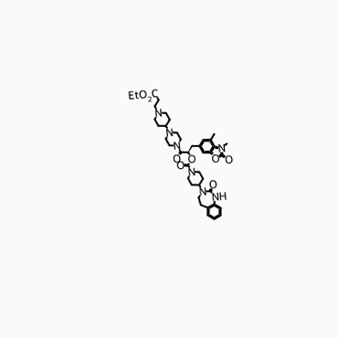 CCOC(=O)CCN1CCC(N2CCN(C(=O)[C@@H](Cc3cc(C)c4c(c3)oc(=O)n4C)OC(=O)N3CCC(N4CCc5ccccc5NC4=O)CC3)CC2)CC1